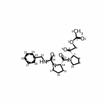 CC(=O)OCC(=O)[C@@H]1CCCN1C(=O)[C@@H]1CCCN1C(=O)NCc1ccccc1